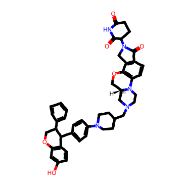 O=C1CCC(N2Cc3c(ccc4c3OC[C@H]3CN(CC5CCN(c6ccc(C7c8ccc(O)cc8OCC7c7ccccc7)cc6)CC5)CCN43)C2=O)C(=O)N1